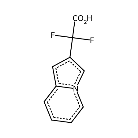 O=C(O)C(F)(F)c1cc2ccccn2c1